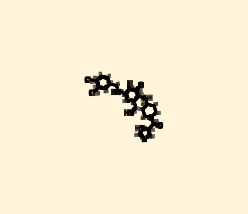 N=Cc1nc(NCc2ccc(Cl)c(Cl)c2)[nH]c(=O)c1NC1CCN(C(=O)c2cnc[nH]2)CC1